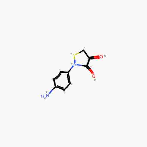 Nc1ccc(N2SCC(=O)C2=O)cc1